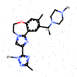 Cc1nc(-c2cn3c(n2)-c2cc([C@H](C)N4CCN(C(C)C)CC4)c(C)cc2OCC3)n(C(C)C)n1